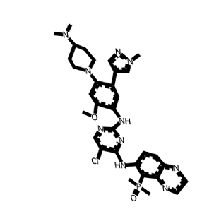 COc1cc(N2CCC(N(C)C)CC2)c(-c2cnn(C)c2)cc1Nc1ncc(Cl)c(Nc2ccc3nccnc3c2P(C)(C)=O)n1